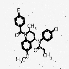 CCC(=O)N(c1ccc(Cl)cc1)[C@H]1C[C@@H](C)N(C(=O)c2ccc(F)cc2)c2ccc(OC)cc21